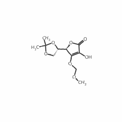 COCOC1=C(O)C(=O)O[C@@H]1[C@@H]1COC(C)(C)O1